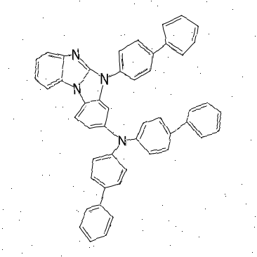 c1ccc(-c2ccc(N(c3ccc(-c4ccccc4)cc3)c3ccc4c(c3)n(-c3ccc(-c5ccccc5)cc3)c3nc5ccccc5n43)cc2)cc1